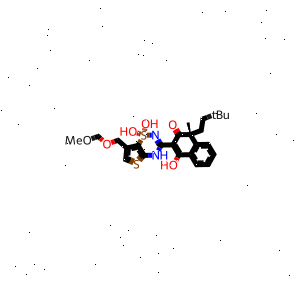 COCOCc1csc2c1S(O)(O)N=C(C1=C(O)c3ccccc3[C@@](C)(CCC(C)(C)C)C1=O)N2